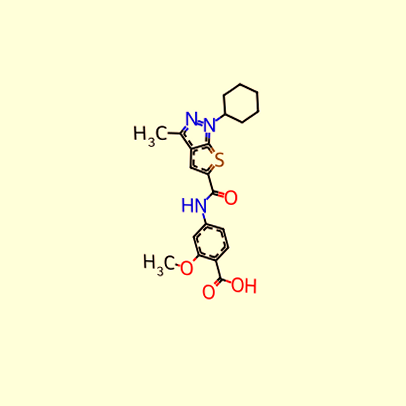 COc1cc(NC(=O)c2cc3c(C)nn(C4CCCCC4)c3s2)ccc1C(=O)O